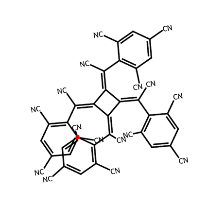 N#CC(=C1C(=C(C#N)c2c(C#N)cc(C#N)cc2C#N)C(=C(C#N)c2c(C#N)cc(C#N)cc2C#N)C1=C(C#N)c1c(C#N)cc(C#N)cc1C#N)c1c(C#N)cc(C#N)cc1C#N